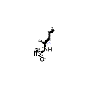 C=C/C=C(\C)N[SH](=O)=O